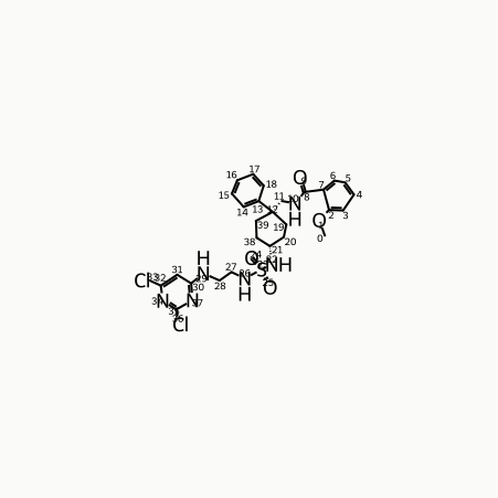 COc1ccccc1C(=O)NC[C@]1(c2ccccc2)CC[C@H](NS(=O)(=O)NCCNc2cc(Cl)nc(Cl)n2)CC1